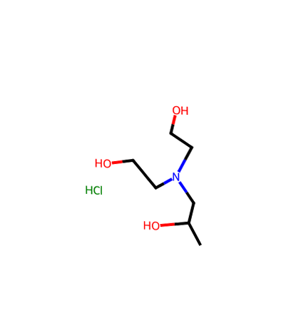 CC(O)CN(CCO)CCO.Cl